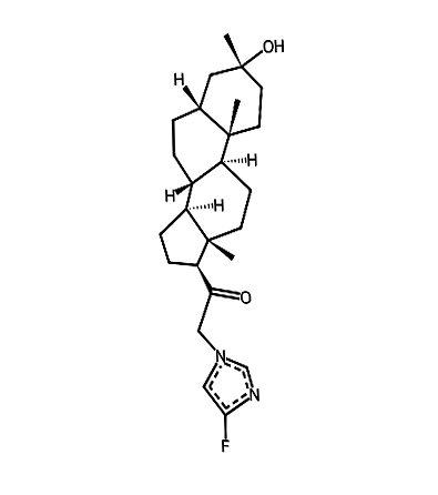 C[C@@]1(O)CC[C@@]2(C)[C@H](CC[C@@H]3[C@@H]2CC[C@]2(C)[C@@H](C(=O)Cn4cnc(F)c4)CC[C@@H]32)C1